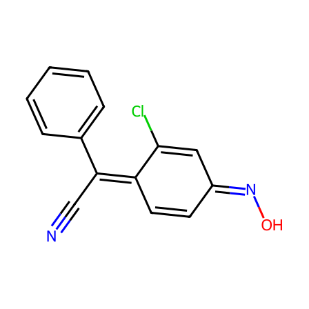 N#CC(=C1C=CC(=NO)C=C1Cl)c1ccccc1